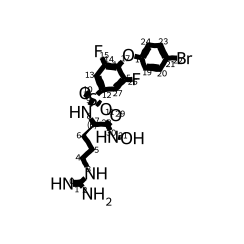 N=C(N)NCCC[C@@H](NS(=O)(=O)c1cc(F)c(Oc2ccc(Br)cc2)c(F)c1)C(=O)NO